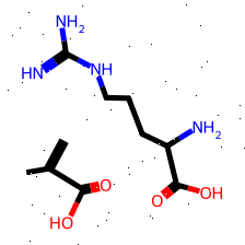 C=C(C)C(=O)O.N=C(N)NCCCC(N)C(=O)O